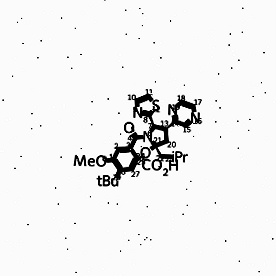 COc1cc(C(=O)N2[C@@H](c3nccs3)[C@@H](c3cnccn3)C[C@]2(CC(C)C)OC(=O)O)ccc1C(C)(C)C